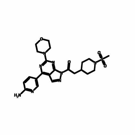 CS(=O)(=O)N1CCC(CC(=O)n2ncc3c(-c4ccc(N)nc4)nc(N4CCOCC4)nc32)CC1